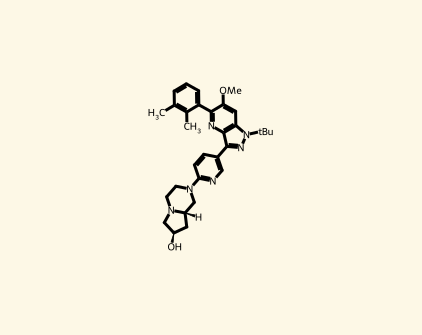 COc1cc2c(nc1-c1cccc(C)c1C)c(-c1ccc(N3CCN4C[C@H](O)C[C@H]4C3)nc1)nn2C(C)(C)C